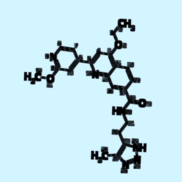 CCOc1cc(-c2ccnc(OC)c2)nc2cc(C(=O)NCCc3[nH]nnc3C)ccc12